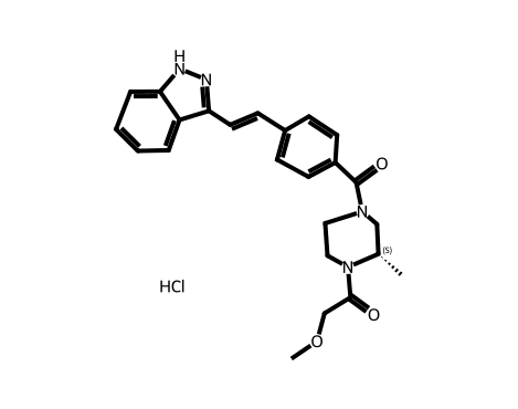 COCC(=O)N1CCN(C(=O)c2ccc(C=Cc3n[nH]c4ccccc34)cc2)C[C@@H]1C.Cl